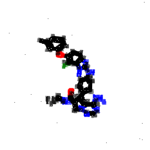 Cc1cccc(Oc2ccc3nc(Nc4ccc(-c5c(C(=O)NCC(F)(F)F)cn6ncnc(N)c56)cc4)[nH]c3c2F)c1